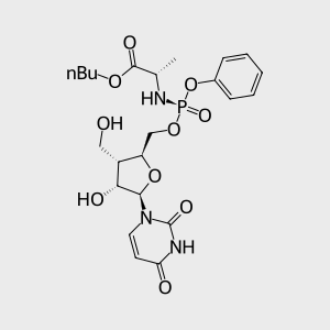 CCCCOC(=O)[C@H](C)N[P@@](=O)(OC[C@H]1O[C@@H](n2ccc(=O)[nH]c2=O)[C@H](O)[C@@H]1CO)Oc1ccccc1